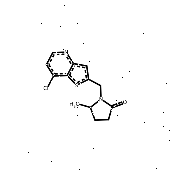 CC1CCC(=O)N1Cc1cc2nccc(Cl)c2s1